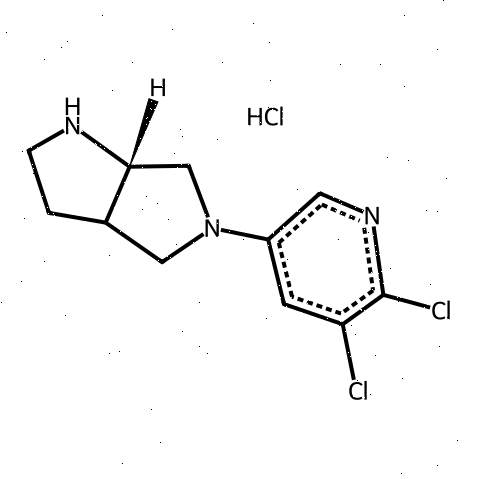 Cl.Clc1cc(N2CC3CCN[C@@H]3C2)cnc1Cl